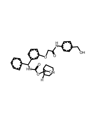 O=C(COc1cccc([C@@H](NC(=O)O[C@H]2CN3CCC2CC3)c2ccccc2)c1)Nc1ccc(CO)cc1